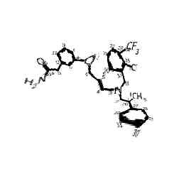 C[C@H](CN(CCCOc1cccc(CC(N)=O)c1)Cc1cccc(C(F)(F)F)c1Cl)c1ccccc1